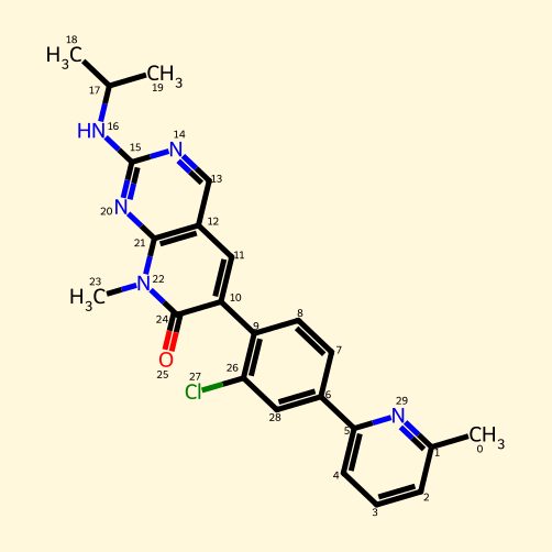 Cc1cccc(-c2ccc(-c3cc4cnc(NC(C)C)nc4n(C)c3=O)c(Cl)c2)n1